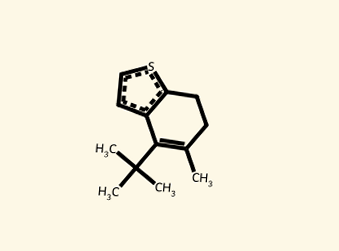 CC1=C(C(C)(C)C)c2ccsc2CC1